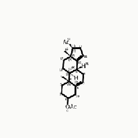 CC(=O)OC1CC[C@@]2(C)C(=CC[C@H]3C4=CC[C@H](C(C)=O)[C@@]4(C)CC[C@@H]32)C1